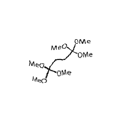 COC(CCC(OC)(OC)OC)(OC)OC